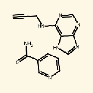 C#CCNc1ncnc2nc[nH]c12.NC(=O)c1cccnc1